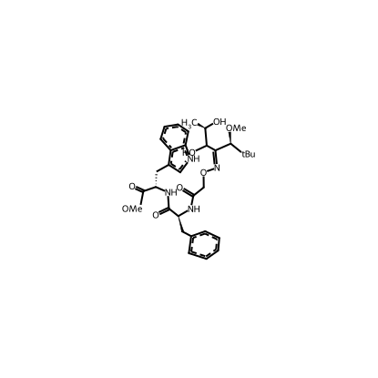 COC(=O)[C@H](Cc1c[nH]c2ccccc12)NC(=O)[C@H](Cc1ccccc1)NC(=O)CO/N=C(\C(O)[C@@H](C)O)[C@@H](OC)C(C)(C)C